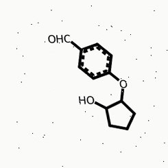 O=Cc1ccc(OC2CCCC2O)cc1